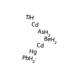 [AsH3].[BeH2].[Cd].[Cd].[Hg].[PbH2].[TlH]